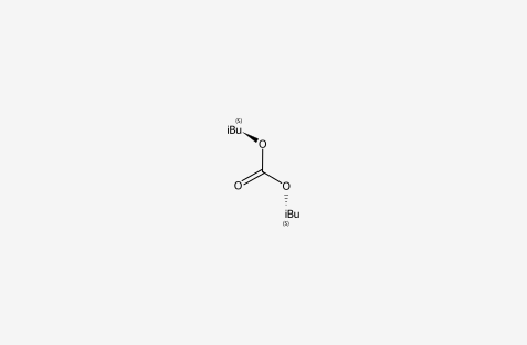 CC[C@H](C)OC(=O)O[C@@H](C)CC